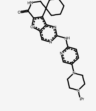 CC(C)N1CCN(c2ccc(Nc3ncc4oc5c(c4n3)C3(CCCCC3)CNC5=O)nc2)CC1